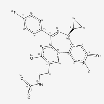 Cn1cc2c(cc1=O)[C@H](C1CC1)N=C(c1ccc(F)cc1)c1cc(Cl)c(CCN[SH](=O)=O)cc1-2